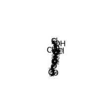 CCS(=O)(=O)C[C@H](C)COc1ccc(C(C)(C)c2cc(Cl)c(OC[C@H](O)CCl)c(Cl)c2)cc1